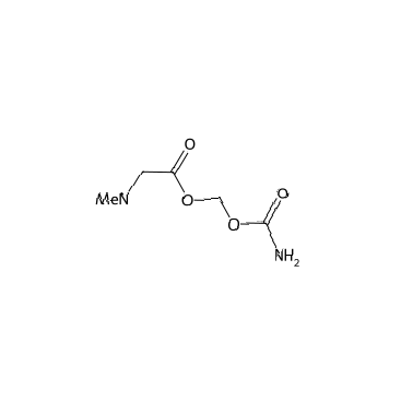 CNCC(=O)OCOC(N)=O